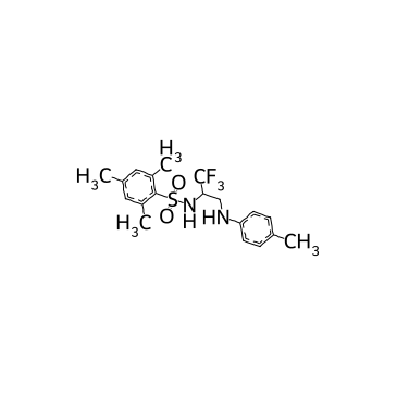 Cc1ccc(NCC(NS(=O)(=O)c2c(C)cc(C)cc2C)C(F)(F)F)cc1